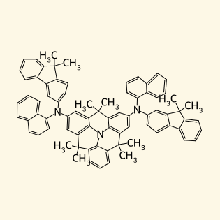 CC1(C)c2ccccc2-c2cc(N(c3cc4c5c(c3)C(C)(C)c3cc(N(c6ccc7c(c6)C(C)(C)c6ccccc6-7)c6cccc7ccccc67)cc6c3N5c3c(cccc3C6(C)C)C4(C)C)c3cccc4ccccc34)ccc21